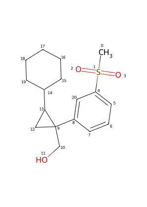 CS(=O)(=O)c1cccc(C2(CO)CC2C2CCCCC2)c1